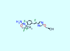 C#CCOc1cnc(/C(F)=C/c2ccc(F)c([C@@]3(C)N=C(N)OCC3(F)F)c2)cn1